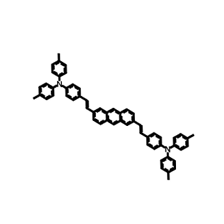 Cc1ccc(N(c2ccc(C)cc2)c2ccc(C=Cc3ccc4cc5cc(C=Cc6ccc(N(c7ccc(C)cc7)c7ccc(C)cc7)cc6)ccc5cc4c3)cc2)cc1